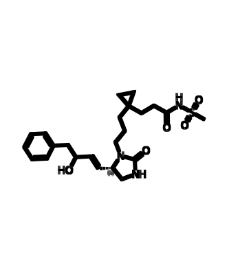 CS(=O)(=O)NC(=O)CCC1(CCCN2C(=O)NC[C@@H]2C=CC(O)Cc2ccccc2)CC1